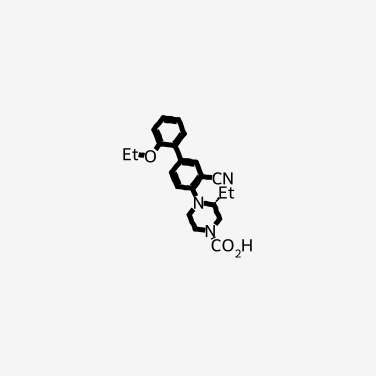 CCOc1ccccc1-c1ccc(N2CCN(C(=O)O)C[C@H]2CC)c(C#N)c1